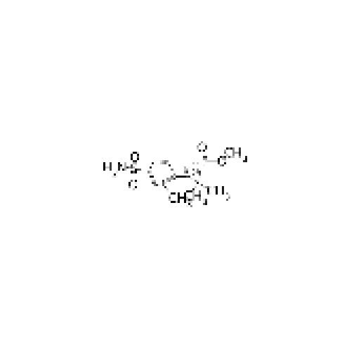 COC(=O)[C@H]1[C@H](c2ccc(S(N)(=O)=O)cc2C)C1(C)C